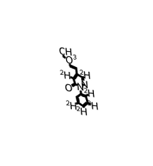 [2H]c1cc(-n2nc([2H])c(C=COCC)c([2H])c2=O)c([2H])c([2H])c1[2H]